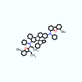 C=Cc1c(/C(=C\C)N(c2ccccc2)c2cc3c(c4ccccc24)-c2ccc4cc(N(c5ccccc5)c5cccc6c5oc5c(C(C)(C)C)cccc56)ccc4c2C32c3ccccc3-c3ccccc32)oc2c(C(C)(C)C)cccc12